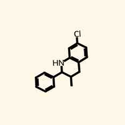 CC1Cc2ccc(Cl)cc2NC1c1ccccc1